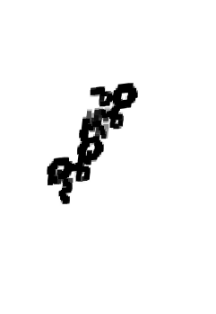 CCOc1ccccc1C(=O)NC1N=CC2=CN(C(=O)c3cccnc3SCC)CCC2=N1